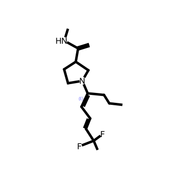 C=C(NC)C1CCN(/C(=C/C=CC(C)(F)F)CCC)C1